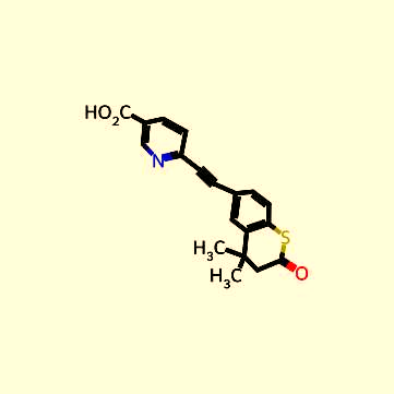 CC1(C)CC(=O)Sc2ccc(C#Cc3ccc(C(=O)O)cn3)cc21